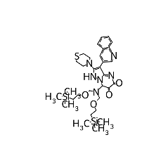 C[Si](C)(C)CCOCN(COCC[Si](C)(C)C)C1C(=O)C(=O)N=C2C(c3cnc4ccccc4c3)=C(N3CCSCC3)NN21